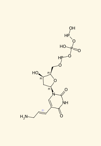 NC/C=C/c1cn([C@H]2C[C@@H](O)[C@@H](COPOP(=O)(O)OPO)O2)c(=O)[nH]c1=O